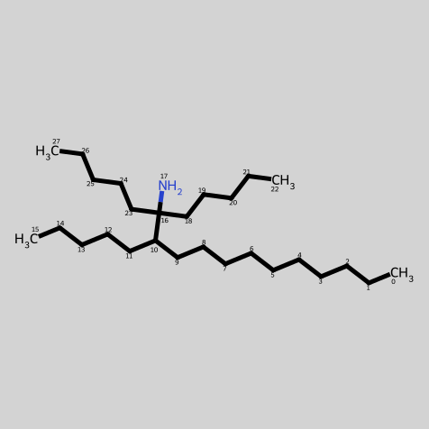 CCCCCCCCCCC(CCCCC)C(N)(CCCCC)CCCCC